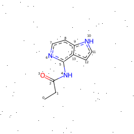 CCC(=O)Nc1nccc2[nH]ccc12